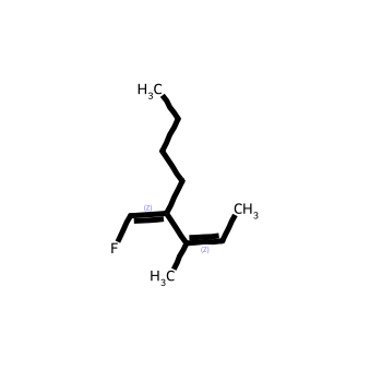 C/C=C(C)\C(=C/F)CCCC